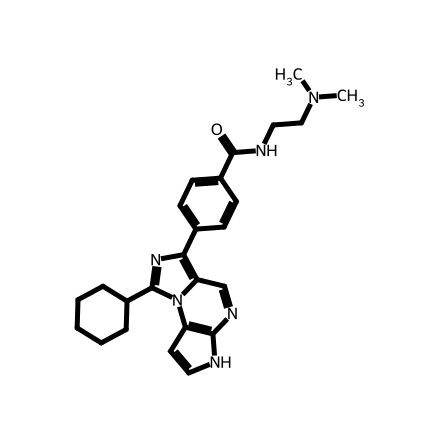 CN(C)CCNC(=O)c1ccc(-c2nc(C3CCCCC3)n3c2cnc2[nH]ccc23)cc1